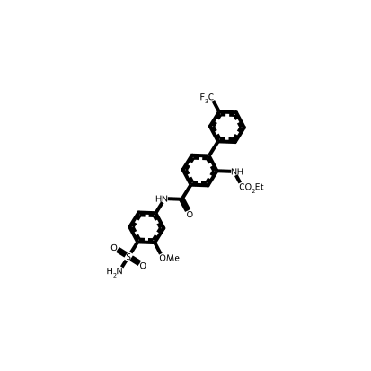 CCOC(=O)Nc1cc(C(=O)Nc2ccc(S(N)(=O)=O)c(OC)c2)ccc1-c1cccc(C(F)(F)F)c1